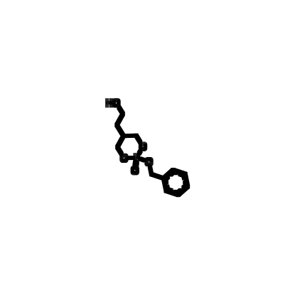 O=P1(OCc2ccccc2)OCC(CCO)CO1